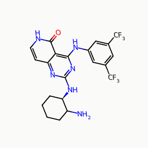 NC1CCCC[C@H]1Nc1nc(Nc2cc(C(F)(F)F)cc(C(F)(F)F)c2)c2c(=O)[nH]ccc2n1